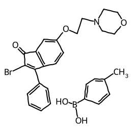 Cc1ccc(B(O)O)cc1.O=C1C(Br)=C(c2ccccc2)c2ccc(OCCN3CCOCC3)cc21